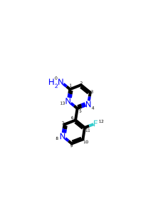 Nc1ccnc(-c2cnccc2F)n1